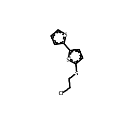 ClCCSc1ccc(-c2cccs2)s1